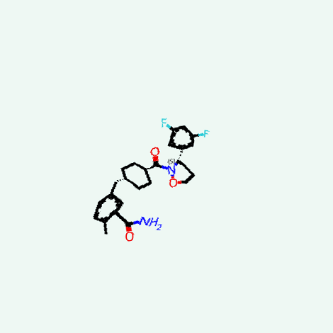 Cc1ccc(C[C@H]2CC[C@H](C(=O)N3OCC[C@H]3c3cc(F)cc(F)c3)CC2)cc1C(N)=O